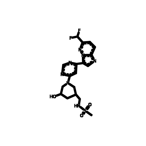 CS(=O)(=O)NCC1CC(O)CN(c2cc(-c3cnc4ccc(C(F)F)nn34)ncn2)C1